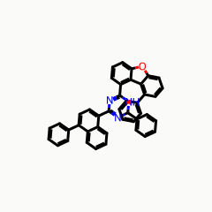 c1ccc(-c2ccc(C3=NC(c4ccccc4)NC(c4cccc5oc6cccc(-c7ccccc7)c6c45)=N3)c3ccccc23)cc1